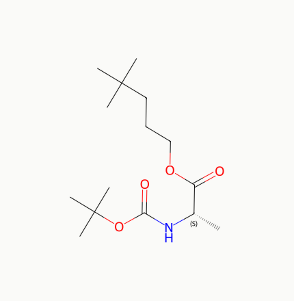 C[C@H](NC(=O)OC(C)(C)C)C(=O)OCCCC(C)(C)C